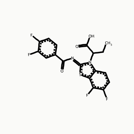 CCC(C(=O)O)n1/c(=N/C(=O)c2ccc(F)c(F)c2)sc2c(F)c(F)ccc21